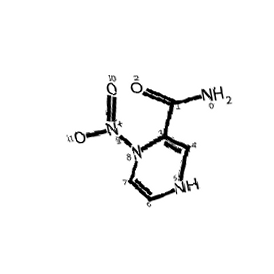 NC(=O)C1=CNC=CN1[N+](=O)[O-]